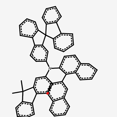 CC1(C)c2ccccc2-c2ccc(N(c3ccc4c(c3)C3(c5ccccc5-c5ccccc53)c3ccccc3-4)c3ccc4ccccc4c3-c3ccc4ccccc4c3)cc21